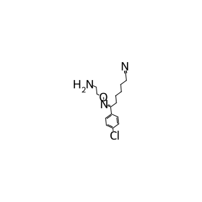 N#CCCCCCC(=NOCCN)c1ccc(Cl)cc1